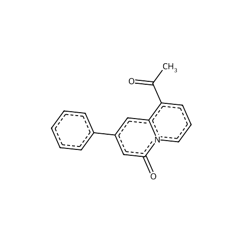 CC(=O)c1cccn2c(=O)cc(-c3ccccc3)cc12